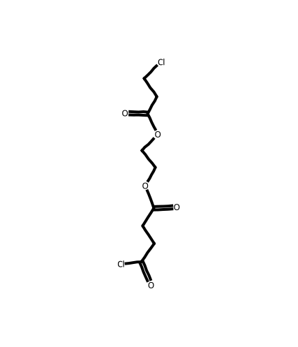 O=C(Cl)CCC(=O)OCCOC(=O)CCCl